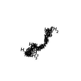 C=C1CCC(N2C(=O)c3ccc(N4CCN(CCCN5CCN(c6cc(-c7n[nH]c8ccc(NC(=O)C9=C(C)N(C)c%10nnnn%10[C@@H]9C)cc78)ccn6)CC5)CC4)cc3C2=O)C(=O)N1